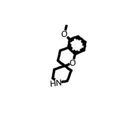 COc1cccc2c1CCC1(CCNCC1)O2